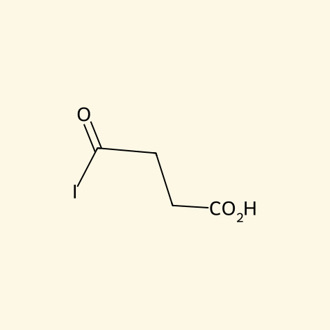 O=C(O)CCC(=O)I